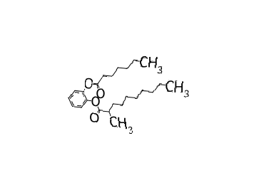 CCCCCCCCC(C)C(=O)Oc1ccccc1OC(=O)CCCCCC